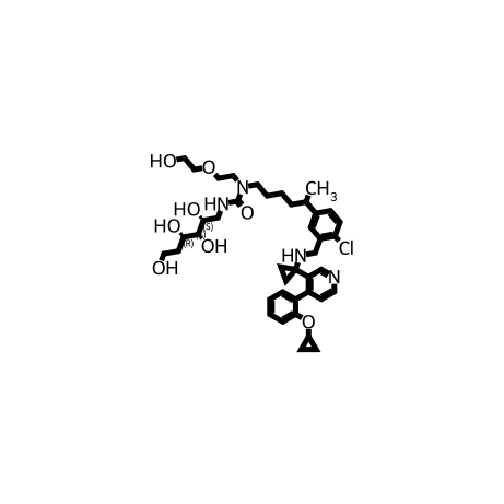 CC(CCCCN(CCOCCO)C(=O)NC[C@H](O)[C@@H](O)[C@H](O)CCO)c1ccc(Cl)c(CNC2(c3cnccc3-c3ccccc3OC3CC3)CC2)c1